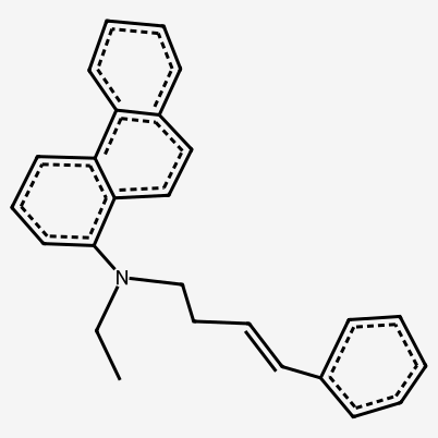 CCN(CCC=Cc1ccccc1)c1cccc2c1ccc1ccccc12